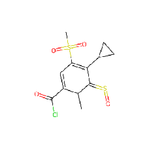 CC1C(C(=O)Cl)=CC(S(C)(=O)=O)=C(C2CC2)C1=S=O